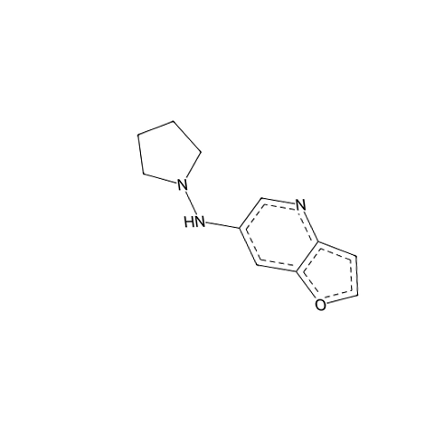 c1cc2ncc(NN3CCCC3)cc2o1